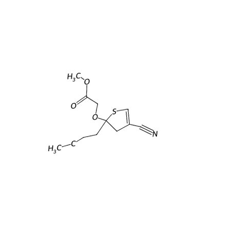 CCCCC1(OCC(=O)OC)CC(C#N)=CS1